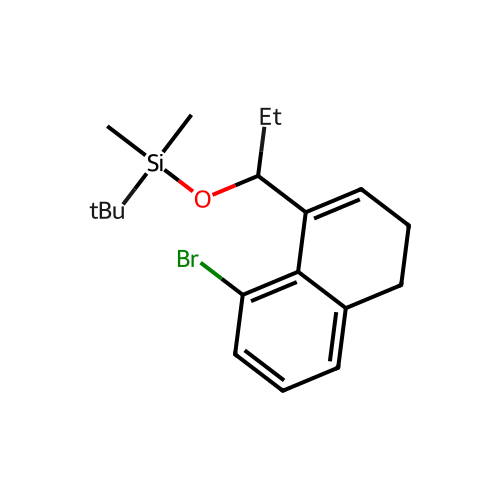 CCC(O[Si](C)(C)C(C)(C)C)C1=CCCc2cccc(Br)c21